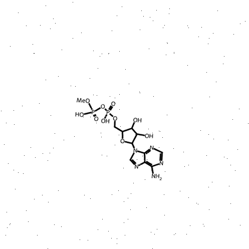 COP(=O)(O)OP(=O)(O)OCC1OC(n2cnc3c(N)ncnc32)C(O)C1O